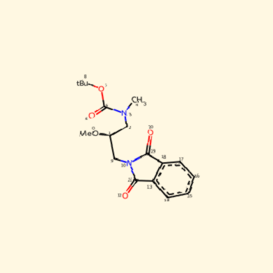 CO[C@@H](CN(C)C(=O)OC(C)(C)C)CN1C(=O)c2ccccc2C1=O